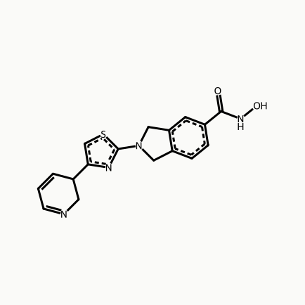 O=C(NO)c1ccc2c(c1)CN(c1nc(C3C=CC=NC3)cs1)C2